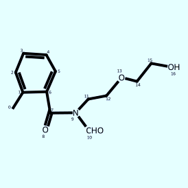 Cc1ccccc1C(=O)N(C=O)CCOCCO